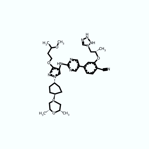 COC(C)CCOc1nn([C@H]2CC[C@H](N3C[C@@H](C)O[C@@H](C)C3)CC2)cc1Nc1ncc(-c2ccc(C#N)c(O[C@@H](C)CN3C=NNN3)c2)cn1